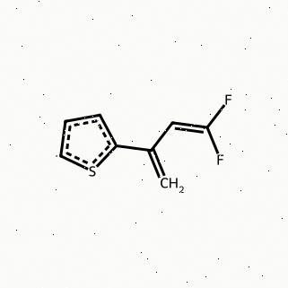 C=C(C=C(F)F)c1cc[c]s1